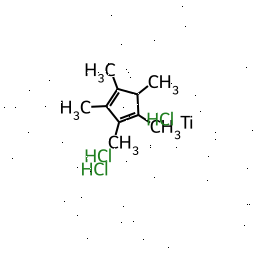 CC1=C(C)C(C)C(C)=C1C.Cl.Cl.Cl.[Ti]